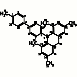 Cc1ccc(-c2ccc(B3c4c(C)cc(C)cc4Cc4cc(C)cc(C)c43)cc2)cc1